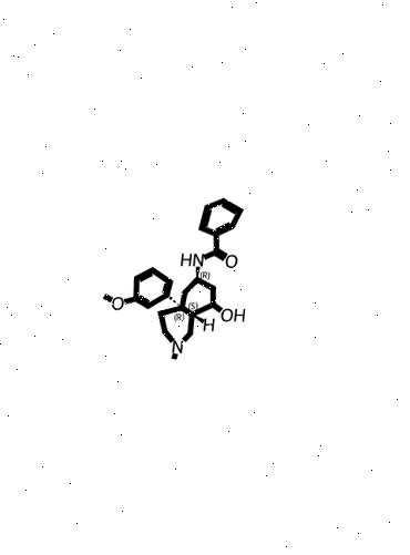 COc1cccc([C@@]23CCN(C)C[C@H]2C(O)C[C@H](NC(=O)c2ccccc2)C3)c1